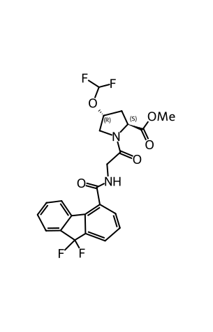 COC(=O)[C@@H]1C[C@@H](OC(F)F)CN1C(=O)CNC(=O)c1cccc2c1-c1ccccc1C2(F)F